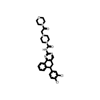 O=C(CN1CCN(C(=O)Nc2ncc3c(n2)-c2ccccc2C(c2ccc(Cl)c(Cl)c2)C3)CC1)N1CCOCC1